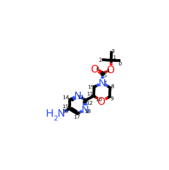 CC(C)(C)OC(=O)N1CCOC(c2ncc(N)cn2)C1